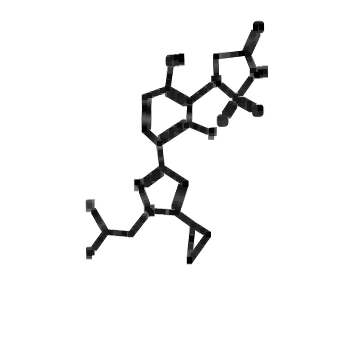 O=C1CN(c2c(O)ccc(-c3cc(C4CC4)n(CC(F)F)n3)c2F)S(=O)(=O)N1